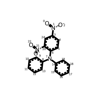 O=[N+]([O-])c1ccc(N(c2ccccc2)c2ccccc2)c([N+](=O)[O-])c1